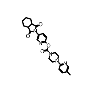 Cc1ccc(N2CCN(C(=O)Oc3ccc(N4C(=O)C5CCCCC5C4=O)cn3)CC2)nc1